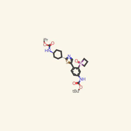 CC(C)OC(=O)N[C@H]1CC[C@H](c2ncc(-c3ccc(NC(=O)OC(C)(C)C)cc3P3(=O)CCC3)s2)CC1